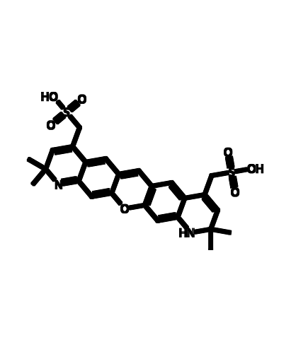 CC1(C)C=C(CS(=O)(=O)O)c2cc3c(cc2=N1)Oc1cc2c(cc1C=3)C(CS(=O)(=O)O)=CC(C)(C)N2